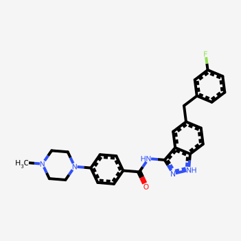 CN1CCN(c2ccc(C(=O)Nc3n[nH]c4ccc(Cc5cccc(F)c5)cc34)cc2)CC1